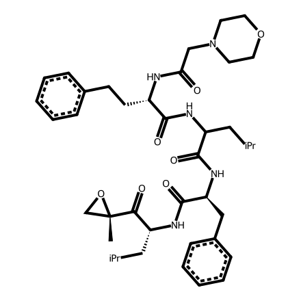 CC(C)CC(NC(=O)[C@H](CCc1ccccc1)NC(=O)CN1CCOCC1)C(=O)N[C@@H](Cc1ccccc1)C(=O)N[C@H](CC(C)C)C(=O)[C@]1(C)CO1